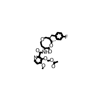 COc1ccnc(C(=O)N[C@H]2CCOC[C@@H](Cc3ccc(F)cc3)[C@H](C)OC2=O)c1OCOC(C)=O